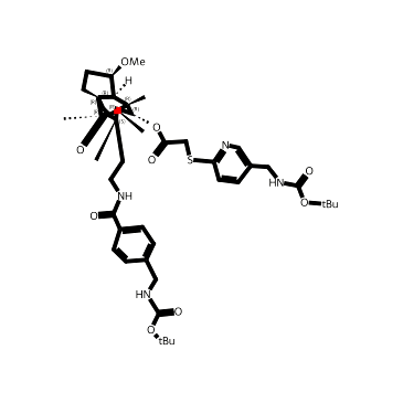 CO[C@@H]1CC[C@]23CC[C@@H](C)[C@](C)([C@H]12)[C@H](OC(=O)CSc1ccc(CNC(=O)OC(C)(C)C)cn1)C[C@](C)(CCNC(=O)c1ccc(CNC(=O)OC(C)(C)C)cc1)C(=O)[C@@H]3C